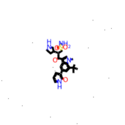 Cn1cc(C(=O)C(CS(N)(=O)=O)C2CCNC2)c2cc(-c3ccc[nH]c3=O)cc(C(C)(C)C)c21